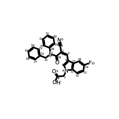 N#CC(=Cc1cn(CC(=O)O)c2ccc(F)cc12)C(=O)N(Cc1ccccc1)c1ccccc1